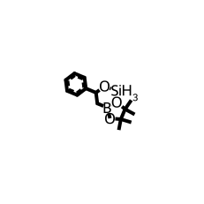 CC1(C)OB(CC(O[SiH3])c2ccccc2)OC1(C)C